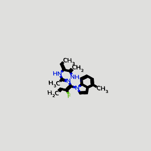 C=C/C(F)=C(\N=C(/C)N/C(=C/C)C(=C)N)N1C=CC2C(C)=CC=CC21